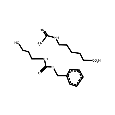 N=C(N)NCCCCCC(=O)O.O=C(NCCCO)OCc1ccccc1